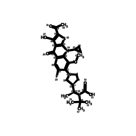 COc1c(N2CC[C@@H]([C@H](C)N(C(=O)O)C(C)(C)C)C2)c(F)cc2c(=O)c3c(O)c(C(C)=O)sc3n(C3CC3)c12